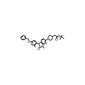 Cc1nc(OCc2ccccc2)ccc1-n1c(=O)n(C)c2nc(N3CCC(CC(=O)OC(C)(C)C)CC3)ccc21